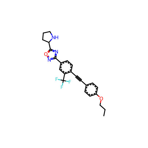 CCCOc1ccc(C#Cc2ccc(-c3noc(C4CCCN4)n3)cc2C(F)(F)F)cc1